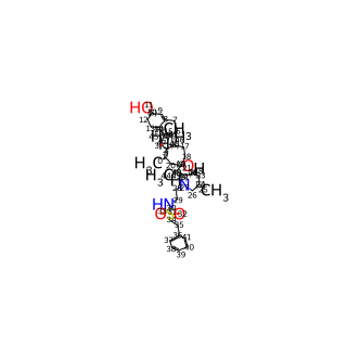 CC1=C2C[C@H]3[C@@H](CCC4=C[C@@H](O)CC[C@@]43C)[C@@H]2CC[C@@]2(C1)O[C@@H]1C[C@H](C)CN(CCNS(=O)(=O)CCc3ccccc3)[C@H]1[C@H]2C